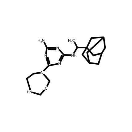 CC(Nc1nc(N)nc(N2CCCNCC2)n1)C12CC3CC(CC(C3)C1)C2